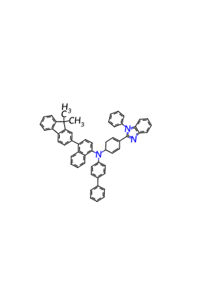 CC1(C)c2ccccc2-c2ccc(-c3ccc(N(c4ccc(-c5ccccc5)cc4)C4C=CC(c5nc6ccccc6n5-c5ccccc5)=CC4)c4ccccc34)cc21